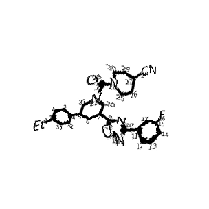 CCc1ccc(C2CC(c3nc(-c4cccc(F)c4)no3)CN(C(=O)N3CCC(C#N)CC3)C2)cc1